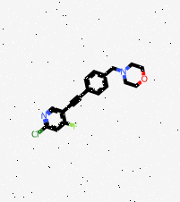 Fc1cc(Cl)ncc1C#Cc1ccc(CN2CCOCC2)cc1